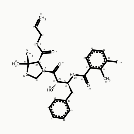 C=CCNC(=O)[C@H]1N(C(=O)[C@@H](O)[C@H](Cc2ccccc2)NC(=O)c2cccc(F)c2C)CSC1(C)C